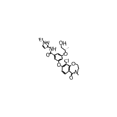 CCn1ccc(NC(=O)c2cc(Oc3ccc4c(c3Cl)OCCN(C)C4=O)cc(O[C@@H](C)CO)c2)n1